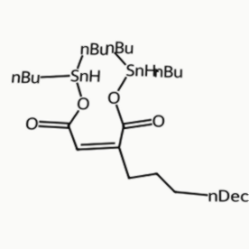 CCCCCCCCCCCCC/C(=C/C(=O)[O][SnH]([CH2]CCC)[CH2]CCC)C(=O)[O][SnH]([CH2]CCC)[CH2]CCC